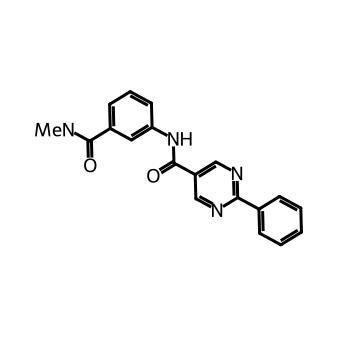 CNC(=O)c1cccc(NC(=O)c2cnc(-c3ccccc3)nc2)c1